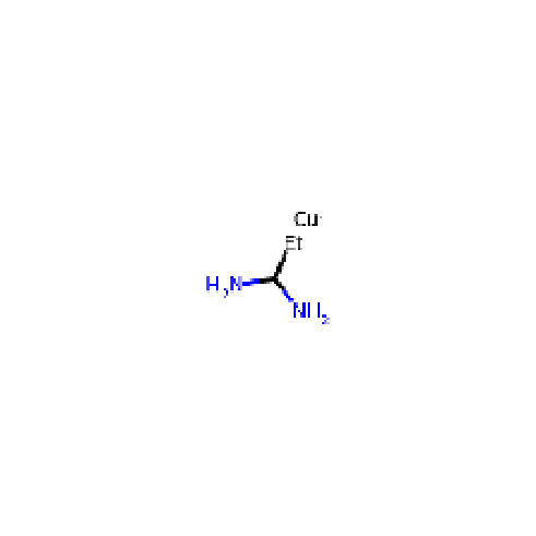 CCC(N)N.[Cu]